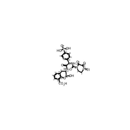 CCN1CCN(C(=O)N[C@@H](C(=O)N[C@H]2Cc3cccc(C(=O)O)c3OB2O)c2ccc(P(=O)(O)O)cn2)C(=O)C1=O